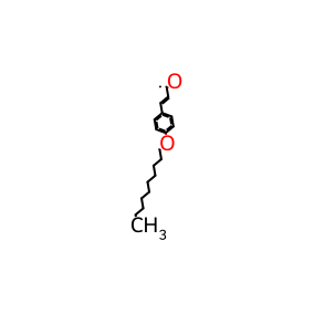 CCCCCCCCCCOc1ccc(/C=C/[C]=O)cc1